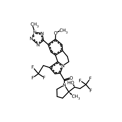 COc1cc2c(cc1-c1nnn(C)n1)-c1c(CC(F)(F)F)cc(C(=O)N3CCC[C@@]3(C)[C@@H](O)CC(F)(F)F)n1CC2